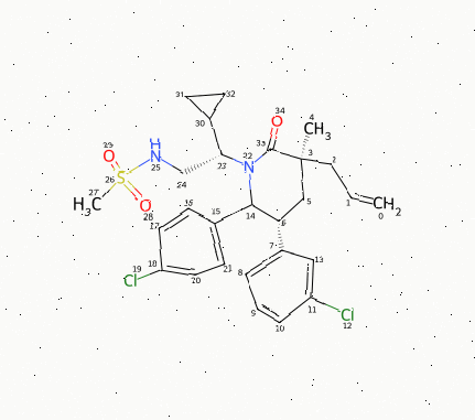 C=CC[C@@]1(C)C[C@H](c2cccc(Cl)c2)C(c2ccc(Cl)cc2)N([C@H](CNS(C)(=O)=O)C2CC2)C1=O